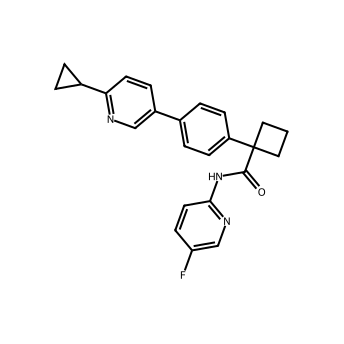 O=C(Nc1ccc(F)cn1)C1(c2ccc(-c3ccc(C4CC4)nc3)cc2)CCC1